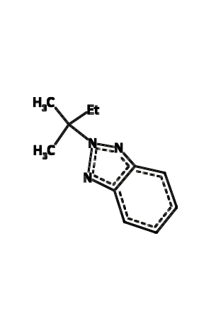 CCC(C)(C)n1nc2ccccc2n1